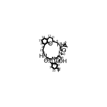 CN1C(=O)[C@H](C2CC2)NCC2CCc3cccc(c3O2)CCCNC(=O)[C@@H](Cc2ccc(F)cc2)NC(=O)[C@@H]1CO